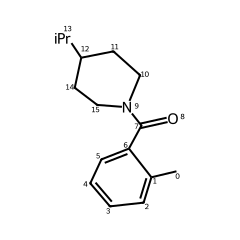 Cc1ccccc1C(=O)N1CCC(C(C)C)CC1